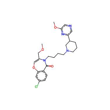 COCC1=COc2cc(Cl)ccc2C(=O)N1CCCCN1CCCC(c2cncc(OC)n2)C1